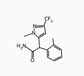 Cc1ccccc1C(C(N)=O)c1cc(C(F)(F)F)nn1C